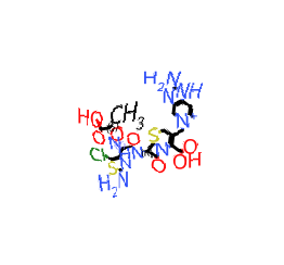 C[C@H](O/N=C(\C(=O)N[C@@H]1C(=O)N2C(C(=O)O)=C(C[n+]3ccc4[nH]c(N)nc4c3)CSC12)c1nc(N)sc1Cl)C(=O)O